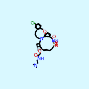 CN(C)CCNC(=O)CO[C@@H]1/C=C/CCCS(=O)(=O)NC(=O)c2ccc3c(c2)N(CCCCc2cc(Cl)ccc2CO3)CC2CC[C@H]21